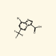 O=C(O)c1cnc2c(Br)cc(C(F)(F)F)cn12